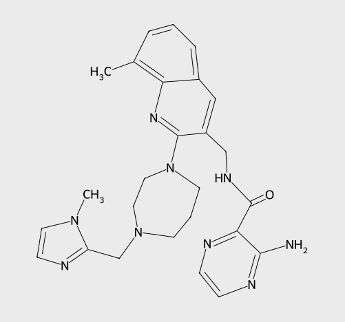 Cc1cccc2cc(CNC(=O)c3nccnc3N)c(N3CCCN(Cc4nccn4C)CC3)nc12